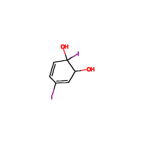 OC1C=C(I)C=CC1(O)I